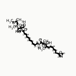 COC(C)CN(C)C(=O)C(O)(CO)N(O)C(=O)/C=C/C=C/C=C/C=C\CNC(=O)C(C)(C)C(O)\C(C)=C/C=C\C=C\Cc1cnco1